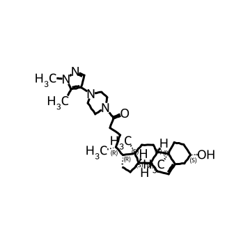 Cc1c(N2CCN(C(=O)CC[C@@H](C)[C@H]3CC[C@H]4[C@@H]5CC=C6C[C@@H](O)CC[C@]6(C)[C@H]5CC[C@]34C)CC2)cnn1C